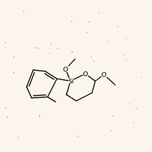 COC1CCC[Si](OC)(c2ccccc2C)O1